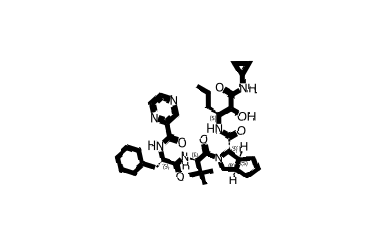 CCC[C@H](NC(=O)[C@@H]1[C@H]2CCC[C@H]2CN1C(=O)[C@@H](NC(=O)[C@H](CC1CCCCC1)NC(=O)c1cnccn1)C(C)(C)C)C(O)C(=O)NC1CC1